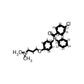 CN(C)CCCOc1ccc(N(C(=O)c2ccc(Cl)cc2)c2ccccc2)cc1